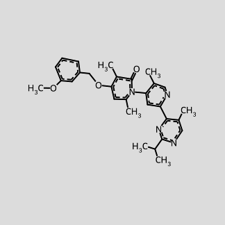 COc1cccc(COc2cc(C)n(-c3cc(-c4nc(C(C)C)ncc4C)ncc3C)c(=O)c2C)c1